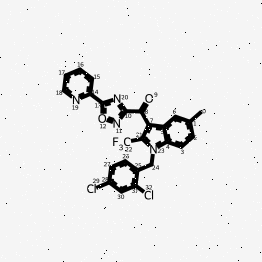 Cc1ccc2c(c1)c(C(=O)c1noc(-c3ccccn3)n1)c(C(F)(F)F)n2Cc1ccc(Cl)cc1Cl